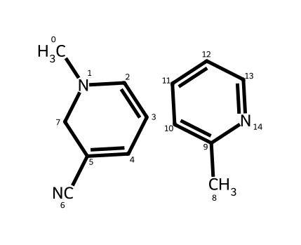 CN1C=CC=C(C#N)C1.Cc1ccccn1